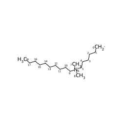 [CH2]CCCCC[N+](C)(C)CCCCCCCCCC